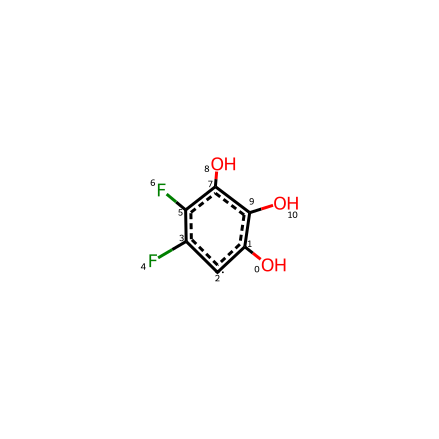 Oc1[c]c(F)c(F)c(O)c1O